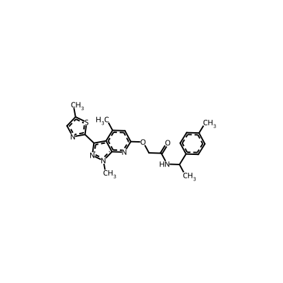 Cc1ccc(C(C)NC(=O)COc2cc(C)c3c(-c4ncc(C)s4)nn(C)c3n2)cc1